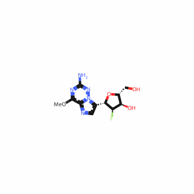 COc1nc(N)nn2c([C@@H]3O[C@H](CO)[C@@H](O)[C@H]3F)cnc12